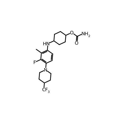 Cc1c(NC2CCC(OC(N)=O)CC2)ccc(N2CCC(C(F)(F)F)CC2)c1F